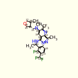 Cc1nnc(N[C@H](C)c2cccc(C(F)F)c2F)c2cc(N(C)C[C@@H]3COC[C@@H]3C)c(C(F)(F)F)nc12